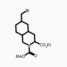 CCOC(=O)C1CC2CC(CBr)CCC2CN1C(=O)OC